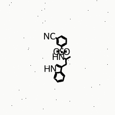 CC(Cc1c[nH]c2ccccc12)NS(=O)(=O)c1cccc(C#N)c1